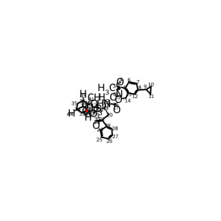 CN=S(C)(=O)c1ccc(C2CC2)cc1COC(=O)N[C@@H](Cc1coc2ccccc12)B1O[C@@H]2C[C@@H]3C[C@@H](C3(C)C)[C@]2(C)O1